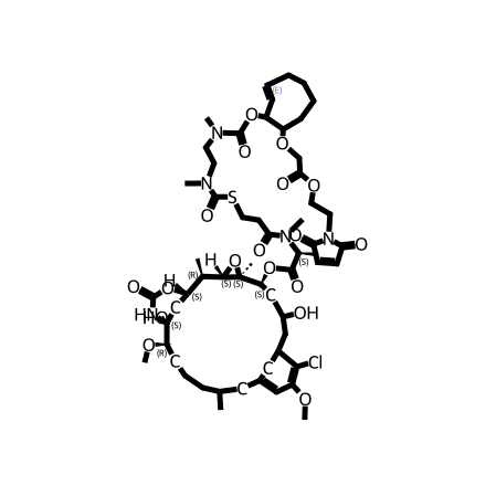 COC1=C(Cl)C2CC(=C1)CC(C)CCC[C@@H](OC)[C@@]1(O)C[C@H](OC(=O)N1)[C@@H](C)[C@@H]1O[C@@]1(C)[C@@H](OC(=O)[C@H](C)N(C)C(=O)CCSC(=O)N(C)CCN(C)C(=O)OC1/C=C/CCCCC1OCC(=O)OCCN1C(=O)C=CC1=O)CC(O)C2